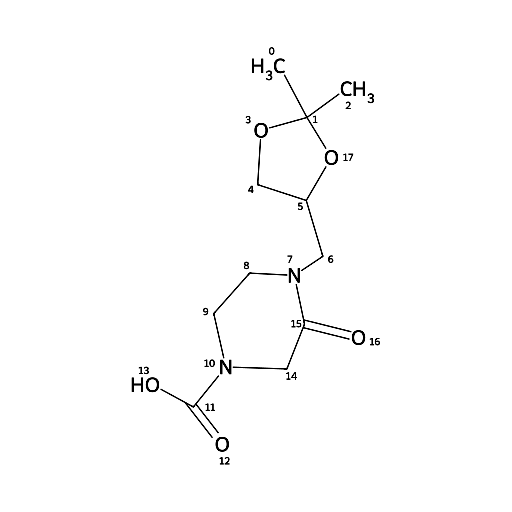 CC1(C)OCC(CN2CCN(C(=O)O)CC2=O)O1